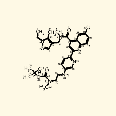 CCn1ncc(CN(C)C(=O)c2cc(-c3ccc(NCCN(C)C(=O)OC(C)(C)C)cn3)nc3ccc(Cl)cc23)c1C